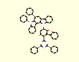 N#Cc1cc(-n2c3ccccc3c3cc(-c4ccccc4)c4c(c5ccccc5n4-c4ccccc4)c32)c2oc3ccccc3c2c1-c1nc(-c2ccccc2)nc(-c2ccccc2)n1